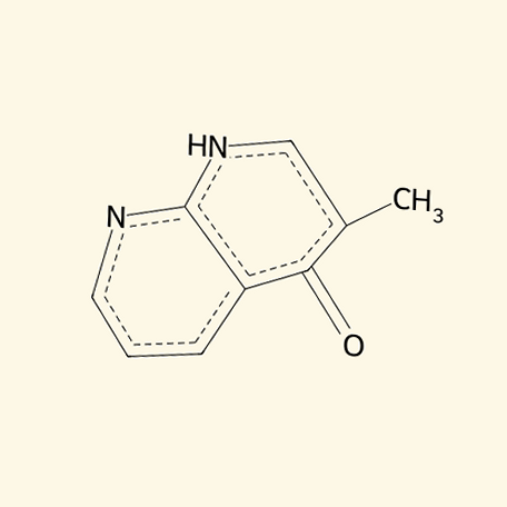 Cc1c[nH]c2ncccc2c1=O